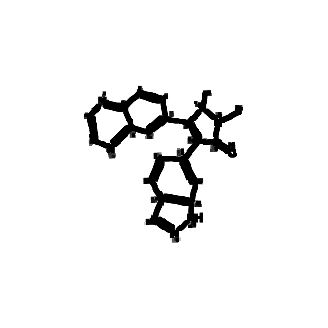 Cn1c(-c2ccc3nccnc3c2)c(-c2ccc3cn[nH]c3c2)c(=O)n1C